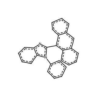 c1ccc(-n2c(-c3c4ccccc4cc4ccccc34)nc3ccccc32)cc1